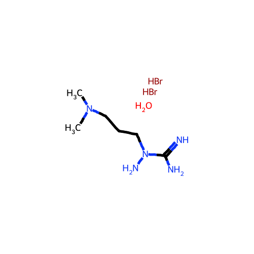 Br.Br.CN(C)CCCN(N)C(=N)N.O